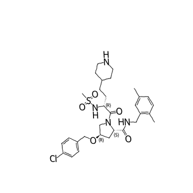 Cc1ccc(C)c(CNC(=O)[C@@H]2C[C@@H](OCc3ccc(Cl)cc3)CN2C(=O)[C@@H](CCC2CCNCC2)NS(C)(=O)=O)c1